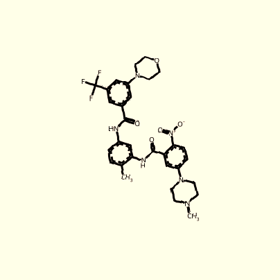 Cc1ccc(NC(=O)c2cc(N3CCOCC3)cc(C(F)(F)F)c2)cc1NC(=O)c1cc(N2CCN(C)CC2)ccc1[N+](=O)[O-]